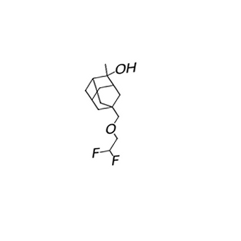 CC1(O)C2CC3CC1CC(COCC(F)F)(C3)C2